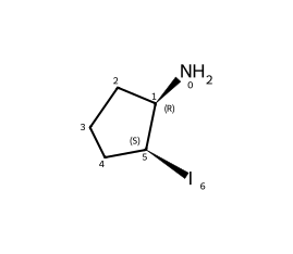 N[C@@H]1CCC[C@@H]1I